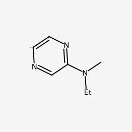 CCN(C)c1cn[c]cn1